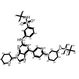 CC(C)(C)NS(=O)(=O)c1cccc(Nc2nc(-c3ccc(N4CCCC(O[Si](C)(C)C(C)(C)C)C4)nc3)c3ncn(C4CCCCO4)c3n2)c1